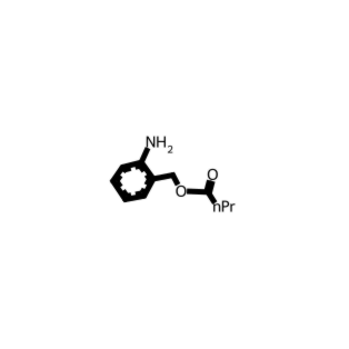 CCCC(=O)OCc1ccccc1N